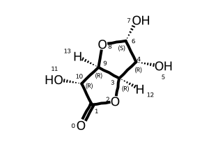 O=C1O[C@@H]2[C@@H](O)[C@@H](O)O[C@@H]2[C@H]1O